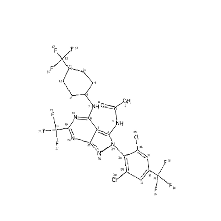 O=C(O)Nc1c2c(NC3CCC(C(F)(F)F)CC3)nc(C(F)(F)F)nc2nn1-c1c(Cl)cc(C(F)(F)F)cc1Cl